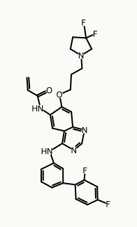 C=CC(=O)Nc1cc2c(Nc3cccc(-c4ccc(F)cc4F)c3)ncnc2cc1OCCCN1CCC(F)(F)C1